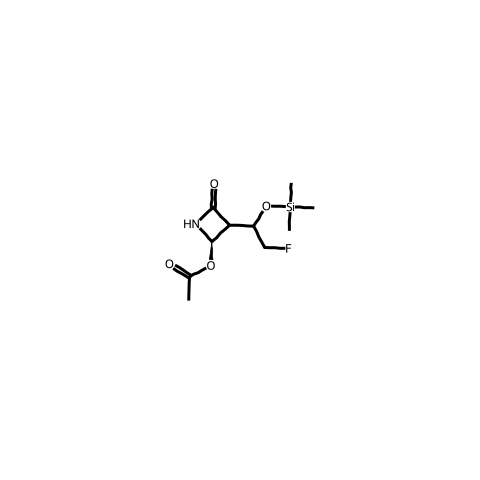 CC(=O)O[C@H]1NC(=O)C1C(CF)O[Si](C)(C)C